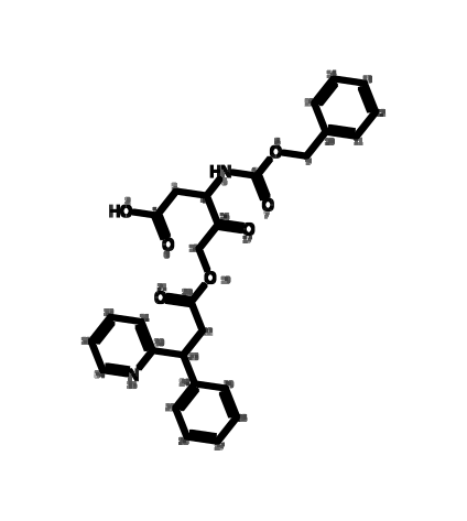 O=C(O)CC(NC(=O)OCc1ccccc1)C(=O)COC(=O)CC(c1ccccc1)c1ccccn1